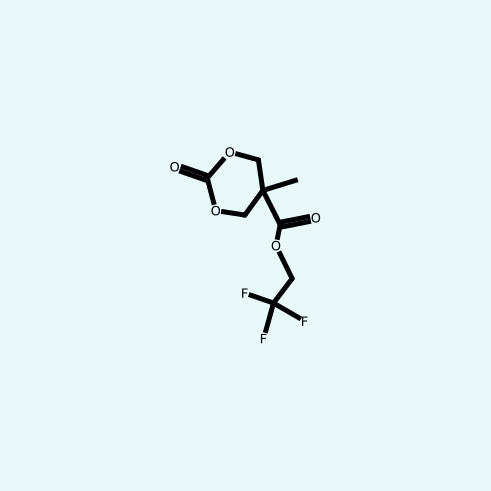 CC1(C(=O)OCC(F)(F)F)COC(=O)OC1